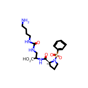 NCCCCNC(=O)NCC(NC(=O)[C@@H]1CCCN1S(=O)(=O)c1ccccc1)C(=O)O